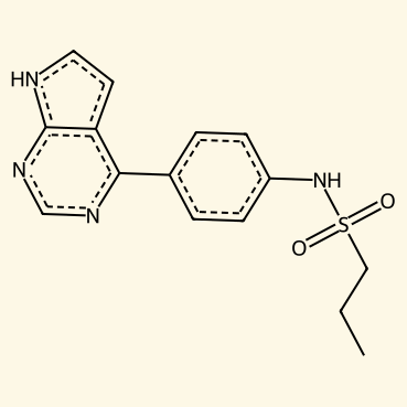 CCCS(=O)(=O)Nc1ccc(-c2ncnc3[nH]ccc23)cc1